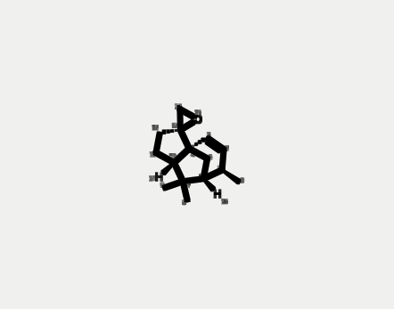 C[C@@H]1C=C[C@]23C[C@H]1C(C)(C)[C@@H]2CC[C@@]31CO1